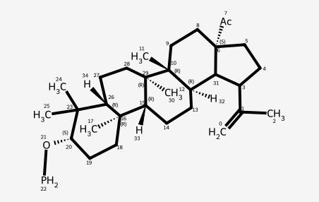 C=C(C)C1CC[C@]2(C(C)=O)CC[C@]3(C)[C@H](CC[C@@H]4[C@@]5(C)CC[C@H](OP)C(C)(C)[C@@H]5CC[C@]43C)C12